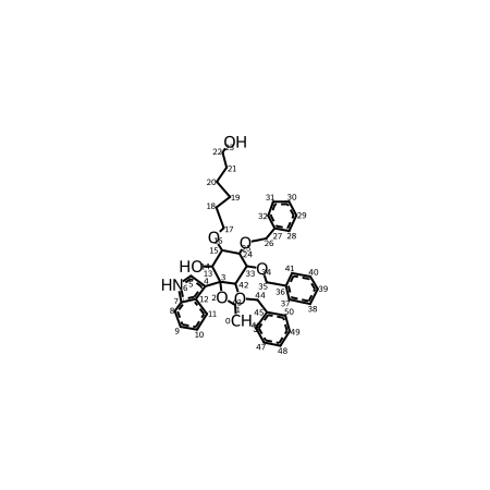 CCOC1(c2c[nH]c3ccccc23)C(O)C(OCCCCCCO)C(OCc2ccccc2)C(OCc2ccccc2)C1OCc1ccccc1